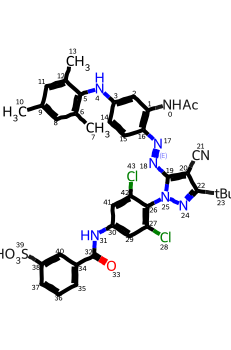 CC(=O)Nc1cc(Nc2c(C)cc(C)cc2C)ccc1/N=N/c1c(C#N)c(C(C)(C)C)nn1-c1c(Cl)cc(NC(=O)c2cccc(S(=O)(=O)O)c2)cc1Cl